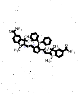 CN1/C(=C/C=C2\CCC(/C=C/C3=[N+](C)c4ccc(C(N)=O)cc4C3(C)C)=C2N(c2ccccc2)c2ccccc2)C(C)(C)c2cc(C(N)=O)ccc21